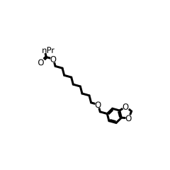 CCCC(=O)OCCCCCCCCCOCc1ccc2c(c1)OCO2